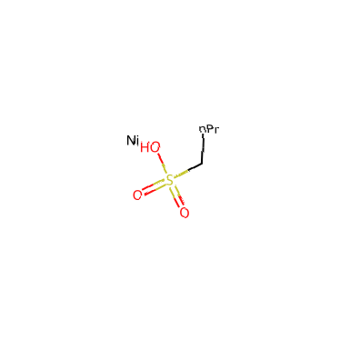 CCCCS(=O)(=O)O.[Ni]